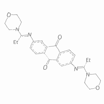 CC/C(=N\c1ccc2c(c1)C(=O)c1ccc(/N=C(\CC)N3CCOCC3)cc1C2=O)N1CCOCC1